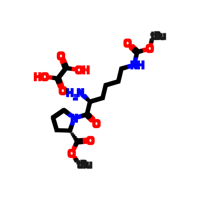 CC(C)(C)OC(=O)NCCCC[C@H](N)C(=O)N1CCC[C@H]1C(=O)OC(C)(C)C.O=C(O)C(=O)O